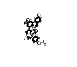 Cc1ccc([S@@](=N)(=O)[C@@H]2CCC[C@H]2C(=O)N(Cc2ccc(Cl)cc2)C2CCC(F)(F)CC2)cc1